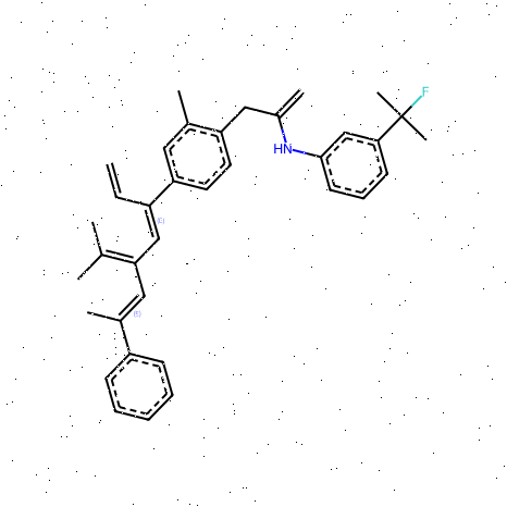 C=C/C(=C\C(/C=C(\C)c1ccccc1)=C(C)C)c1ccc(CC(=C)Nc2cccc(C(C)(C)F)c2)c(C)c1